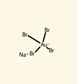 [Br][Au-]([Br])([Br])[Br].[Na+]